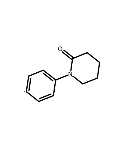 O=C1CCCCN1c1cc[c]cc1